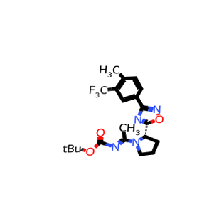 C/C(=N\C(=O)OC(C)(C)C)N1CCC[C@H]1c1nc(-c2ccc(C)c(C(F)(F)F)c2)no1